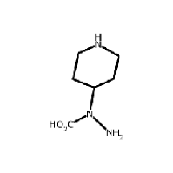 NN(C(=O)O)C1CCNCC1